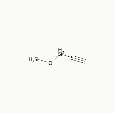 C#[Si][SiH2]O[SiH3]